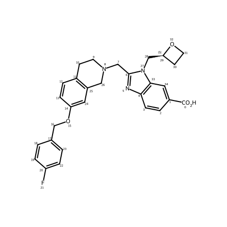 O=C(O)c1ccc2nc(CN3CCc4ccc(OCc5ccc(F)cc5)cc4C3)n(C[C@@H]3CCO3)c2c1